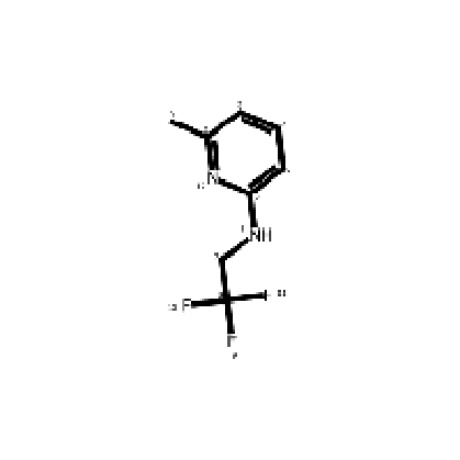 Cc1cccc(NCC(F)(F)F)n1